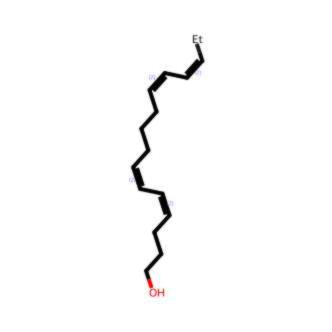 CC/C=C\C=C/CCC/C=C\C=C/CCCO